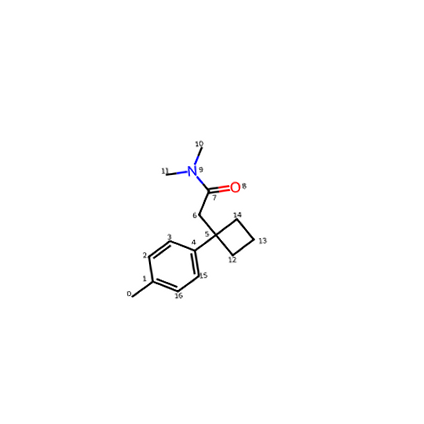 Cc1ccc(C2(CC(=O)N(C)C)CCC2)cc1